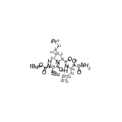 CC(C)C[C@@H]1CC12CC(C(=O)NC(CC1CCC1)C(=O)C(N)=O)N(C(=O)[C@H](NC(=O)OC(C)(C)C)C(C)(C)C)C2